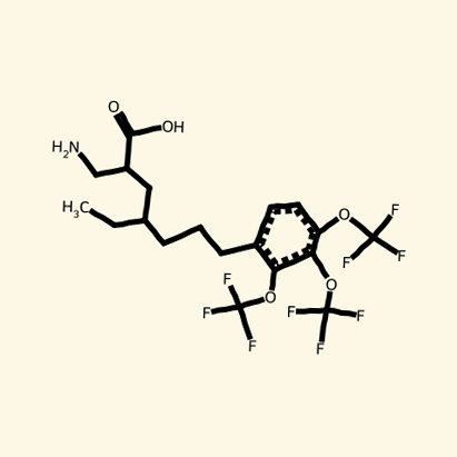 CCC(CCCc1ccc(OC(F)(F)F)c(OC(F)(F)F)c1OC(F)(F)F)CC(CN)C(=O)O